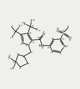 CC(F)(F)c1nn(CC2CCC(F)(F)C2)c(C(=O)Nc2ccnc(S(C)(=O)=O)c2)c1C(F)(F)F